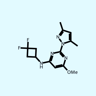 COc1cc(NC2CC(F)(F)C2)nc(-n2nc(C)cc2C)n1